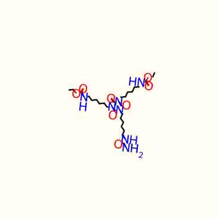 CCOC(=O)NCCCCCCn1c(=O)n(CCCCCCNC(N)=O)c(=O)n(CCCCCCNC(=O)OCC)c1=O